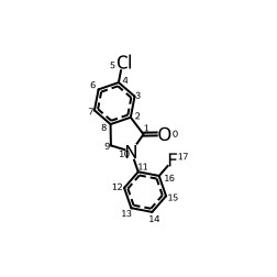 O=C1c2cc(Cl)ccc2CN1c1ccccc1F